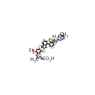 CCOc1cc(O[C@H]2CCc3c(-c4cccc(OCCCN5CCC5(C)C)c4C)cccc32)c(Cl)cc1CN(C)CCC(=O)O